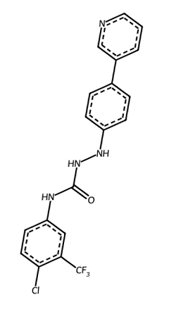 O=C(NNc1ccc(-c2cccnc2)cc1)Nc1ccc(Cl)c(C(F)(F)F)c1